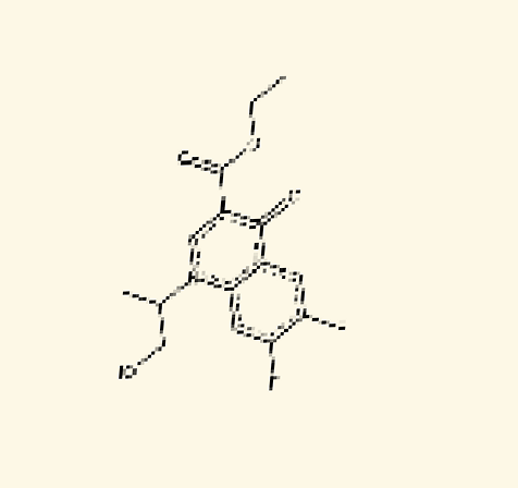 CCOC(=O)c1cn(C(C)CO)c2cc(F)c(F)cc2c1=O